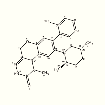 CC1C(=O)NN=C2COc3cc(-c4ccccc4F)c(N4C[C@H](C)CC[C@H]4C)cc3N21